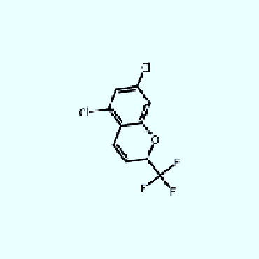 FC(F)(F)C1C=Cc2c(Cl)cc(Cl)cc2O1